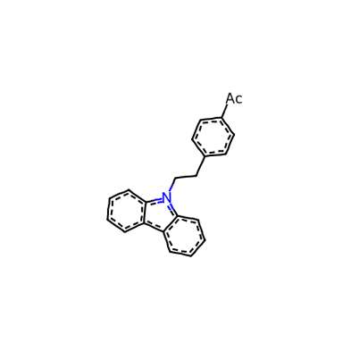 CC(=O)c1ccc(CCn2c3ccccc3c3ccccc32)cc1